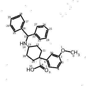 COc1cccc([C@]2(C(=O)O)CC[C@@H](NC(c3ccccc3)c3ccccc3)CC2)c1